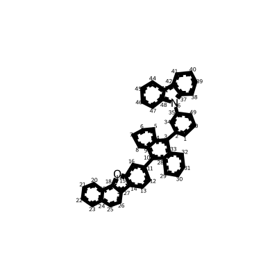 c1cc(-c2c3ccccc3c(-c3ccc4c(c3)oc3c5ccccc5ccc43)c3ccccc23)cc(-n2c3ccccc3c3ccccc32)c1